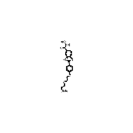 COCCOCCOc1ccc(-c2nc3ccc(C(=O)NO)cc3[nH]2)cc1